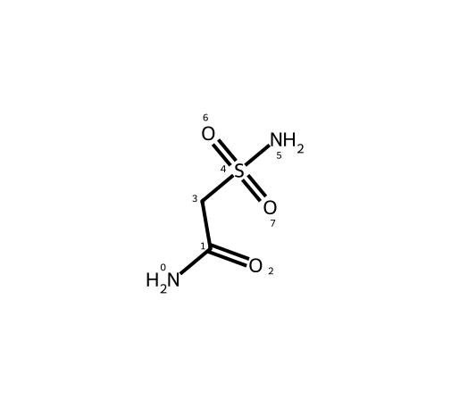 NC(=O)CS(N)(=O)=O